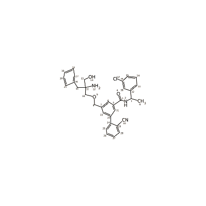 CC(NC(=O)c1cc(COCC(N)(CO)Cc2ccccc2)cc(-c2ccccc2C#N)c1)c1cccc(Cl)c1